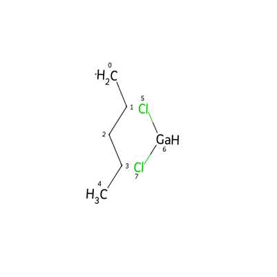 [CH2]CCCC.[Cl][GaH][Cl]